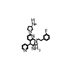 CN[C@H]1CCN(c2ccc(C(C(N)=O)c3cccnc3)c(NCCc3cccc(F)c3)n2)C1